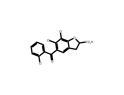 O=C(c1ccccc1Cl)c1cc2c(c(Cl)c1Cl)OC(C(=O)O)C2